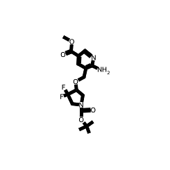 COC(=O)c1cnc(N)c(COC2CN(C(=O)OC(C)(C)C)CC2(F)F)c1